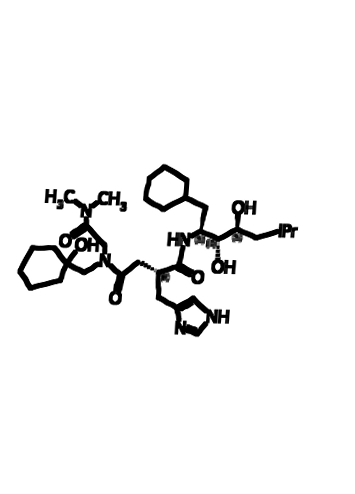 CC(C)C[C@H](O)[C@H](O)[C@H](CC1CCCCC1)NC(=O)[C@@H](CC(=O)N(CC(=O)N(C)C)CC1(O)CCCCC1)Cc1c[nH]cn1